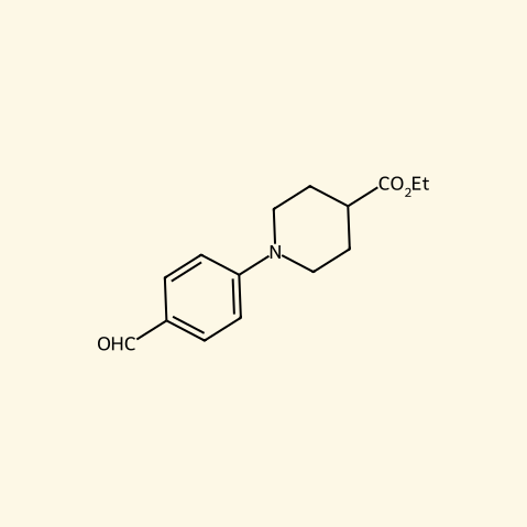 CCOC(=O)C1CCN(c2ccc(C=O)cc2)CC1